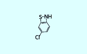 Clc1ccc2[nH]sc2c1